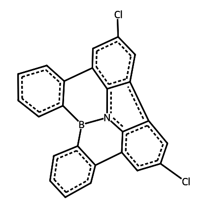 Clc1cc2c3c(c1)c1cc(Cl)cc4c1n3B(c1ccccc1-2)c1ccccc1-4